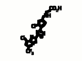 O=C(O)CCNCc1ccc(-c2noc(C3CN4C=C(C(F)(F)F)C=C(Cl)C4=N3)n2)c(Cl)c1